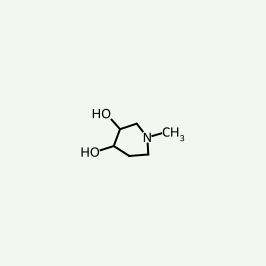 CN1CCC(O)C(O)C1